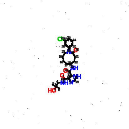 CC(C)(O)CNC(=O)c1nc[nH]c1C(=O)N[C@@H]1CCCCN(c2cccc(Cl)c2)C(=O)CC1